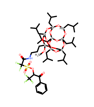 CC(C)C[SiH]1O[Si]2(CC(C)C)O[Si]3(CC(C)C)O[Si](CCCNC(=O)C(F)(F)S(=O)(=O)OC(C(=O)c4ccccc4)C(F)(F)F)(O[SiH3])O[Si]4(CC(C)C)O[Si](CC(C)C)(O1)O[Si](CC(C)C)(O2)O[Si](CC(C)C)(O3)O4